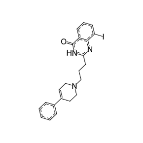 O=c1[nH]c(CCCN2CC=C(c3ccccc3)CC2)nc2c(I)cccc12